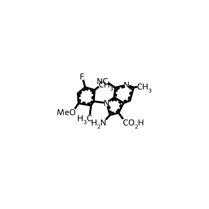 COc1cc(F)c(C)c(-n2c(N)c(C(=O)O)c3cc(C)nc(C#N)c32)c1C